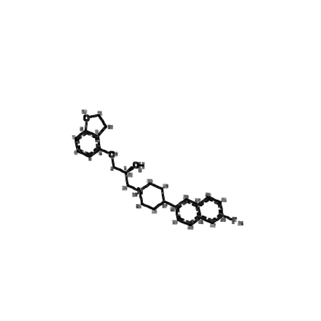 O[C@H](COc1cccc2c1CCO2)CN1CCC(c2ccc3cc(F)ccc3c2)CC1